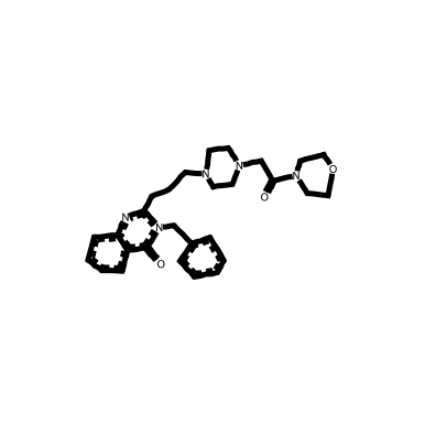 O=C(CN1CCN(CCCc2nc3ccccc3c(=O)n2Cc2ccccc2)CC1)N1CCOCC1